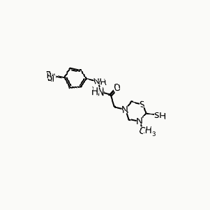 CN1CN(CC(=O)NNc2ccc(Br)cc2)CSC1S